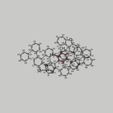 Cc1c(C)c(-c2c(-c3ccccc3-c3ccccc3)ccc3oc4ccccc4c23)c2c(c1-c1c(-c3ccccc3)nnnc1-c1c(-c3ccccc3)cccc1-c1c(-c3ccccc3-c3ccccc3)ccc3[se]c4ccccc4c13)Cc1ccc(-c3ccccc3)c(-c3ccccc3-c3ccccc3)c1-2